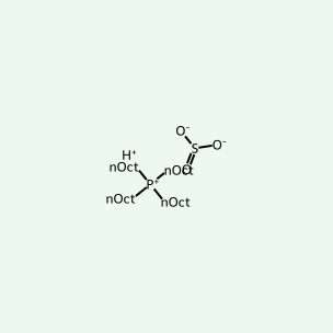 CCCCCCCC[P+](CCCCCCCC)(CCCCCCCC)CCCCCCCC.O=S([O-])[O-].[H+]